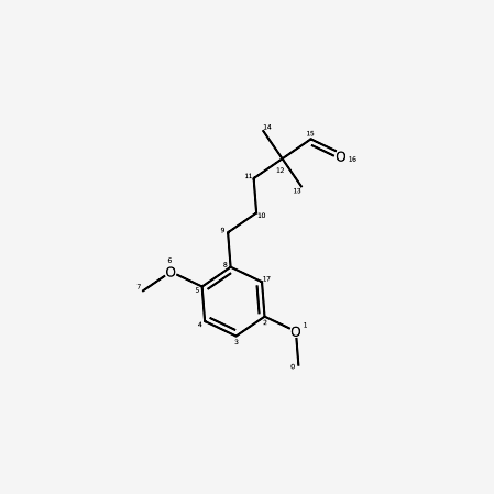 COc1ccc(OC)c(CCCC(C)(C)C=O)c1